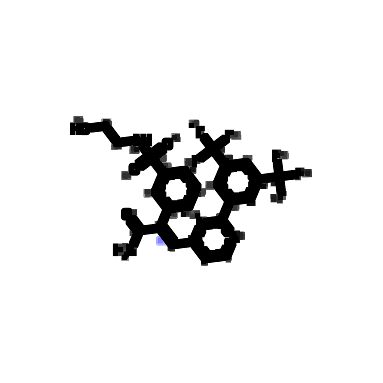 NC(=O)/C(=C/c1ccnc(-c2cc(C(F)(F)F)cc(C(F)(F)F)c2)n1)c1cccc(S(=O)(=O)NCCO)c1